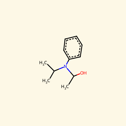 CC(C)N(c1ccccc1)C(C)O